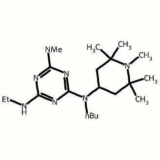 CCCCN(c1nc(NC)nc(NCC)n1)C1CC(C)(C)N(C)C(C)(C)C1